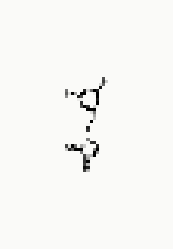 Fc1cc(F)cc(COn2cc[nH]c2=S)c1